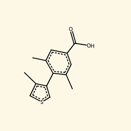 Cc1cscc1-c1c(C)cc(C(=O)O)cc1C